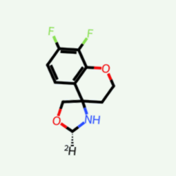 [2H][C@H]1NC2(CCOc3c2ccc(F)c3F)CO1